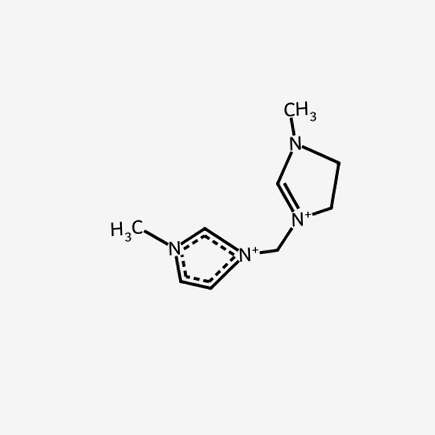 CN1C=[N+](C[n+]2ccn(C)c2)CC1